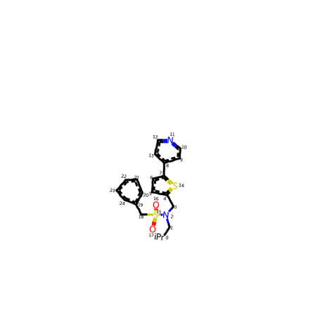 CC(C)CN(Cc1ccc(-c2ccncc2)s1)S(=O)(=O)Cc1ccccc1